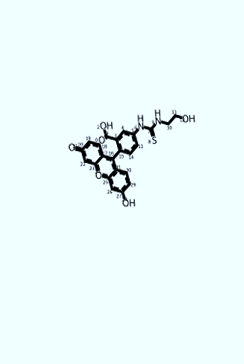 O=C(O)c1cc(NC(=S)NCCO)ccc1-c1c2ccc(=O)cc-2oc2cc(O)ccc12